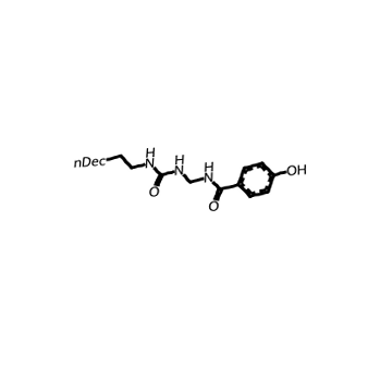 CCCCCCCCCCCCNC(=O)NCNC(=O)c1ccc(O)cc1